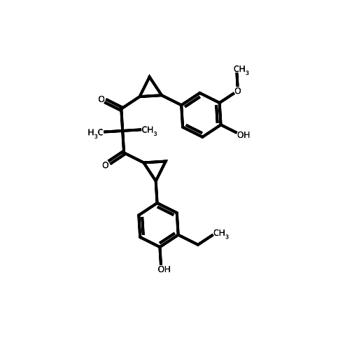 CCc1cc(C2CC2C(=O)C(C)(C)C(=O)C2CC2c2ccc(O)c(OC)c2)ccc1O